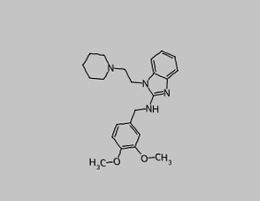 COc1ccc(CNc2nc3ccccc3n2CCN2CCCCC2)cc1OC